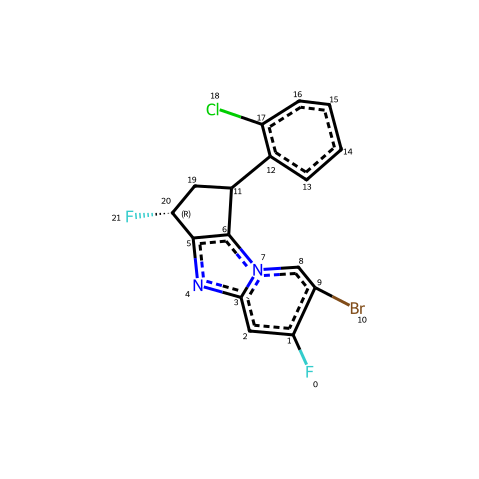 Fc1cc2nc3c(n2cc1Br)C(c1ccccc1Cl)C[C@H]3F